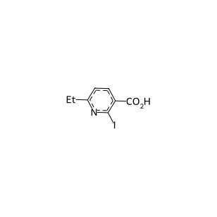 CCc1ccc(C(=O)O)c(I)n1